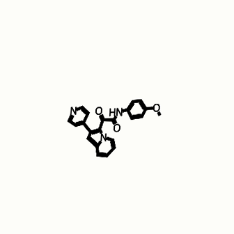 COc1ccc(NC(=O)C(=O)c2c(-c3ccncc3)cc3ccccn23)cc1